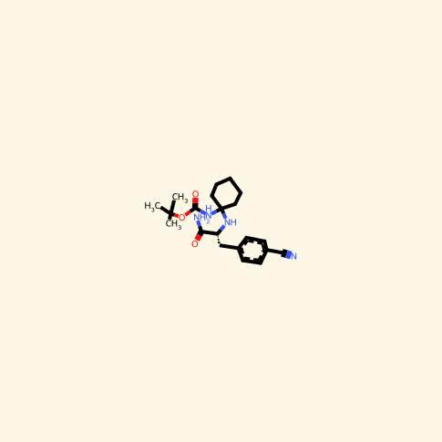 CC(C)(C)OC(=O)NC1(N[C@H](Cc2ccc(C#N)cc2)C(N)=O)CCCCC1